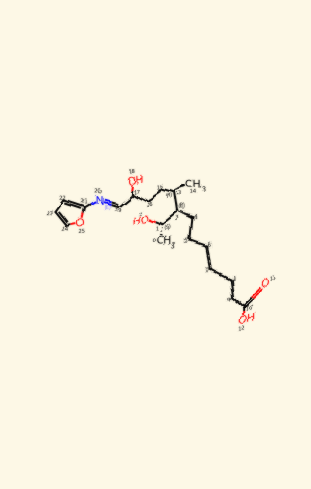 C[C@H](O)[C@H](CCCCCCC(=O)O)[C@H](C)CCC(O)/C=N/c1ccco1